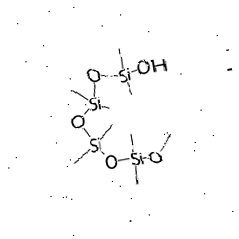 CO[Si](C)(C)O[Si](C)(C)O[Si](C)(C)O[Si](C)(C)O